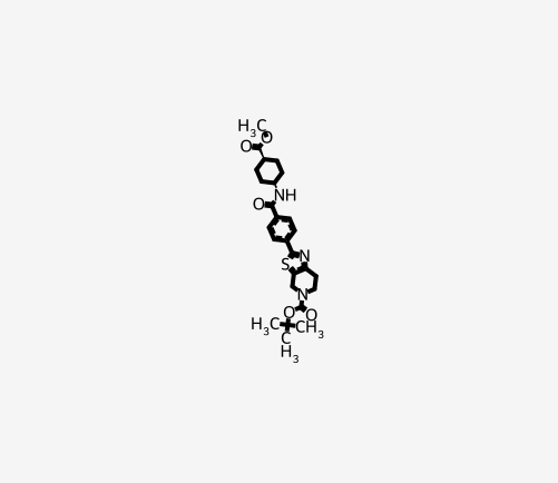 COC(=O)[C@H]1CC[C@H](NC(=O)c2ccc(-c3nc4c(s3)CN(C(=O)OC(C)(C)C)CC4)cc2)CC1